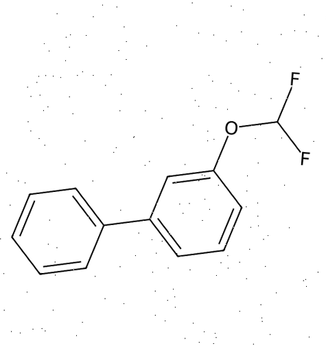 FC(F)Oc1cccc(-c2ccccc2)c1